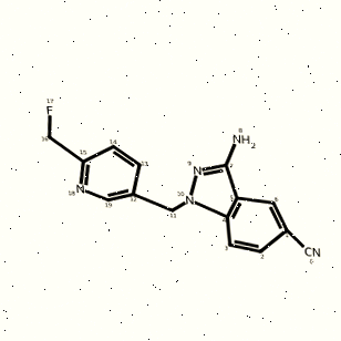 N#Cc1ccc2c(c1)c(N)nn2Cc1ccc(CF)nc1